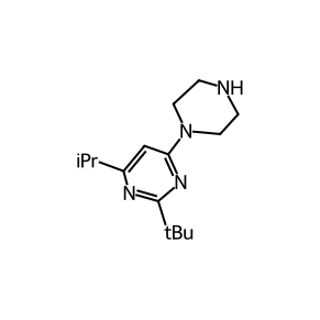 CC(C)c1cc(N2CCNCC2)nc(C(C)(C)C)n1